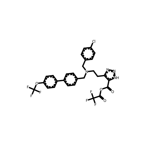 O=C(OC(=O)C(F)(F)F)c1[nH]nnc1CCN(Cc1ccc(Cl)cc1)Cc1ccc(-c2ccc(OC(F)(F)F)cc2)cc1